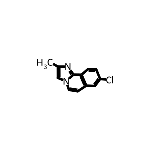 Cc1cn2ccc3cc(Cl)ccc3c2n1